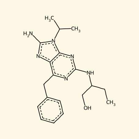 CCC(CO)Nc1nc(Cc2ccccc2)c2nc(N)n(C(C)C)c2n1